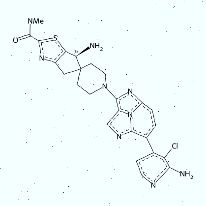 CNC(=O)c1nc2c(s1)[C@@H](N)C1(CCN(c3nc4ccc(-c5ccnc(N)c5Cl)c5ncc3n45)CC1)C2